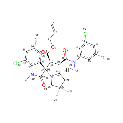 C=CCOC(=O)[C@H]1[C@@H](C(=O)N(C)c2cc(Cl)cc(Cl)c2)[C@H]2CC(F)(F)CN2[C@]12C(=O)N(C)c1c(Cl)cc(Cl)cc12